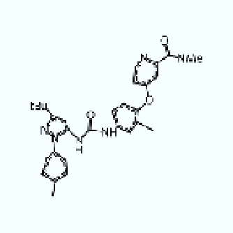 CNC(=O)c1cc(Oc2ccc(NC(=O)Nc3cc(C(C)(C)C)nn3-c3ccc(C)cc3)cc2C)ccn1